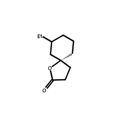 CCC1CCC[C@@]2(CCC(=O)O2)C1